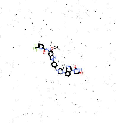 COc1cc2nn([C@H]3CC[C@H](CN4CCN(c5cccc6c(N7CCC(=O)NC7=O)cncc56)[C@H](C)C4)CC3)cc2cc1NC(=O)c1cccc(C(F)(F)F)n1